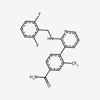 NC(=O)c1ccc(-c2cccnc2NCc2c(F)cccc2F)c(C(F)(F)F)c1